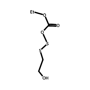 CCOC(=O)OSSCCO